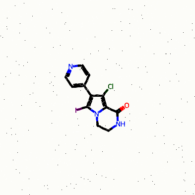 O=C1NCCn2c(I)c(-c3ccncc3)c(Cl)c21